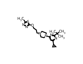 Cc1nnc(OCCCN2CCN(c3cc(C4CC4)nc(C(C)(C)C)n3)CC2)s1